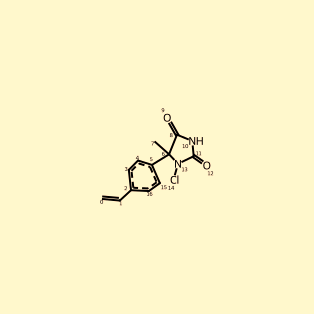 C=Cc1ccc(C2(C)C(=O)NC(=O)N2Cl)cc1